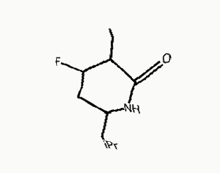 CC(C)C1CC(F)C(C)C(=O)N1